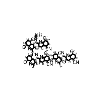 Cc1nc2c([O-])ccc(C#N)c2cc1Oc1cc2c(C#N)ccc([O-])c2nc1C.Cc1nc2c([O-])ccc(C#N)c2cc1Oc1cc2c(C#N)ccc([O-])c2nc1C.Cc1nc2c([O-])ccc(C#N)c2cc1Oc1cc2c(C#N)ccc([O-])c2nc1C.[Al+3].[Al+3]